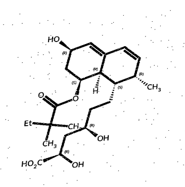 CCC(C)(C)C(=O)O[C@H]1C[C@@H](O)C=C2C=C[C@H](C)[C@H](CC[C@@H](O)C[C@@H](O)C(=O)O)[C@H]21